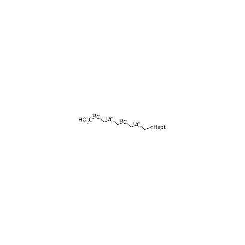 [13CH3]C[13CH2]C[13CH2]C[13CH2]C[13CH2]C[13CH2]C[13CH2]C[13CH2]C(=O)O